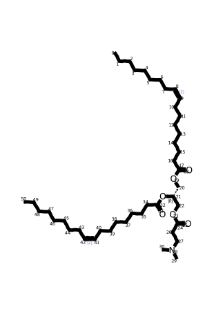 CCCCCCCC/C=C\CCCCCCCC(=O)OC[C@H](COC(=O)CCN(C)C)OC(=O)CCCCCCC/C=C\CCCCCCCC